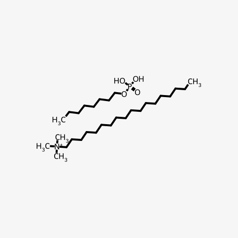 CCCCCCCCCCCCCCCCCC[N+](C)(C)C.CCCCCCCCOP(=O)(O)O